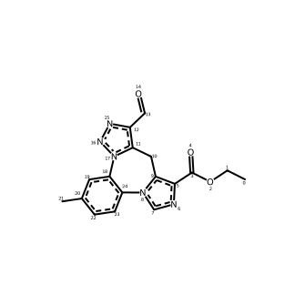 CCOC(=O)c1ncn2c1Cc1c(C=O)nnn1-c1cc(C)ccc1-2